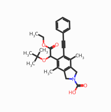 CCOC(=O)C(OC(C)(C)C)c1c(C)c2c(c(C)c1C#Cc1ccccc1)CN(C(=O)O)C2